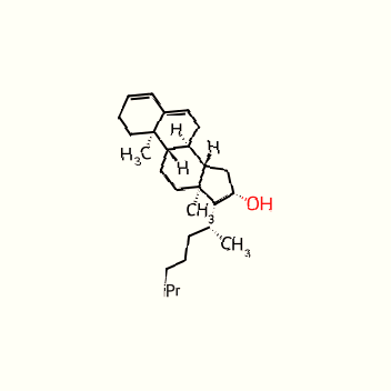 CC(C)CCC[C@@H](C)[C@H]1[C@@H](O)C[C@H]2[C@@H]3CC=C4C=CCC[C@]4(C)[C@H]3CC[C@]12C